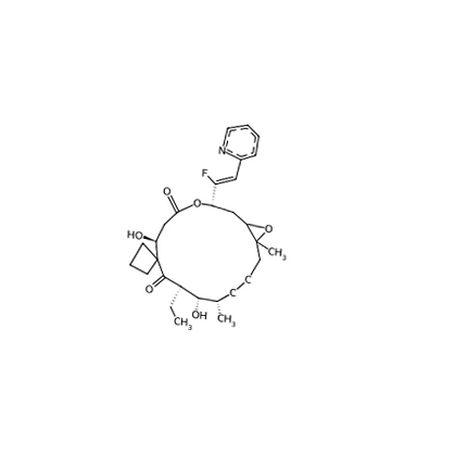 CC[C@@H]1C(=O)C2(CCC2)[C@@H](O)CC(=O)O[C@H](C(F)=Cc2ccccn2)CC2OC2(C)CCC[C@H](C)[C@@H]1O